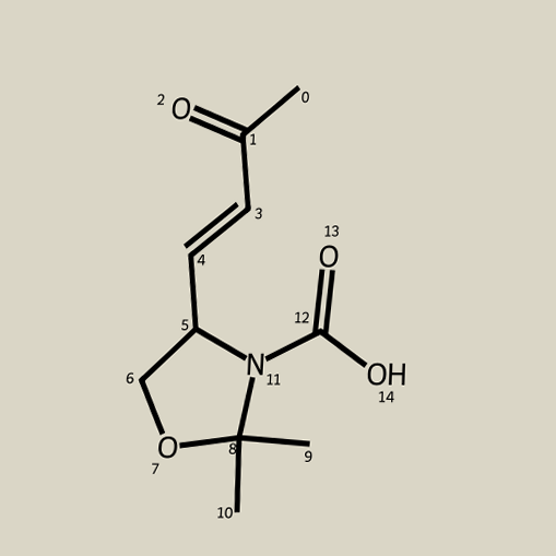 CC(=O)C=CC1COC(C)(C)N1C(=O)O